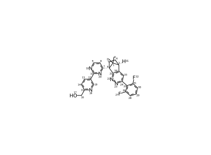 CC1(C)[C@H]2CC[C@]1(c1ccnc(-c3ccc(CO)nc3)n1)c1nnc(-c3c(F)cccc3F)cc12